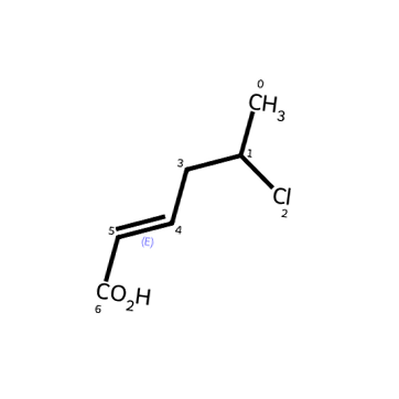 CC(Cl)C/C=C/C(=O)O